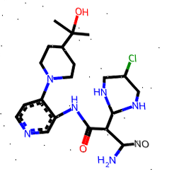 CC(C)(O)C1CCN(c2ccncc2NC(=O)C(C(N)N=O)C2NCC(Cl)CN2)CC1